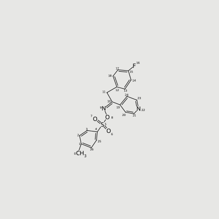 Cc1ccc(S(=O)(=O)O/N=C(/Cc2ccc(F)cc2)c2ccncc2)cc1